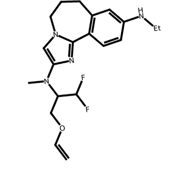 C=COCC(C(F)F)N(C)c1cn2c(n1)-c1ccc(NCC)cc1CCC2